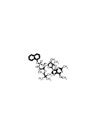 COc1nc(C)nc2c1ncn2C1O[C@H](COP(=O)(N[C@@H](C)C(=O)OCC(C)(C)C)Oc2cccc3ccccc23)[C@@H](O)[C@@]1(C)O